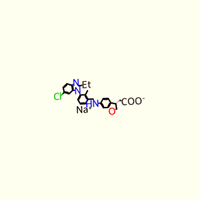 CCc1nc2ccc(Cl)cc2n1-c1cccc(CNc2ccc3c(c2)OC[C@H]3CC(=O)[O-])c1C.[Na+]